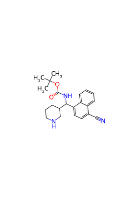 CC(C)(C)OC(=O)NC(c1ccc(C#N)c2ccccc12)C1CCCNC1